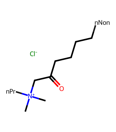 CCCCCCCCCCCCCC(=O)C[N+](C)(C)CCC.[Cl-]